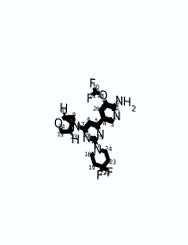 Nc1ncc(-c2cc(N3C[C@@H]4C[C@H]3CO4)nc(N3CCC(F)(F)CC3)n2)cc1OC(F)F